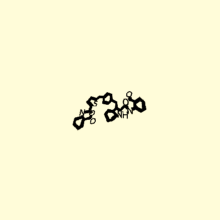 O=c1oc(-c2ccc(Cc3ccc(Cc4c(-c5nc6ccccc6c(=O)o5)[nH]c5ccccc45)cc3)s2)nc2ccccc12